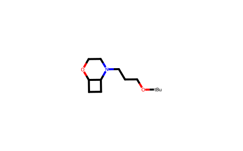 CC(C)(C)OCCCN1CCOC2CCC21